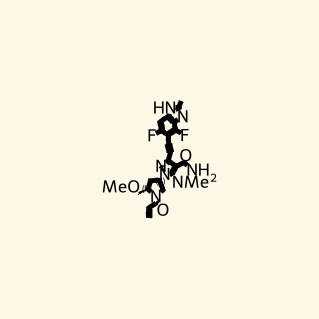 C=CC(=O)N1C[C@@H](n2nc(C#Cc3c(F)cc4[nH]c(C)nc4c3F)c(C(N)=O)c2NC)C[C@@H]1COC